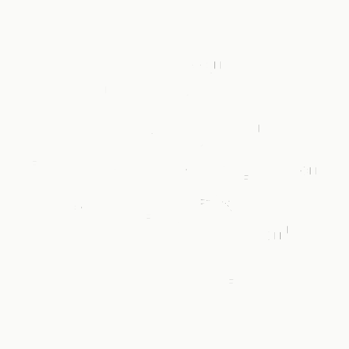 O=C(O)C12CC3(c4c(F)cc(F)c(O)c4F)CC(c4c(F)cc(F)c(O)c4F)(C1)C(c1c(F)cc(F)c(O)c1F)(C2)C3